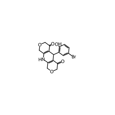 O=C1COCC2=C1C(c1cc(Br)ccc1O)C1=C(COCC1=O)N2